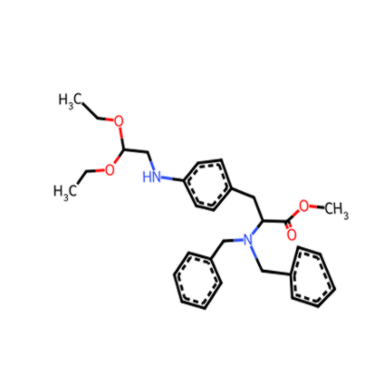 CCOC(CNc1ccc(CC(C(=O)OC)N(Cc2ccccc2)Cc2ccccc2)cc1)OCC